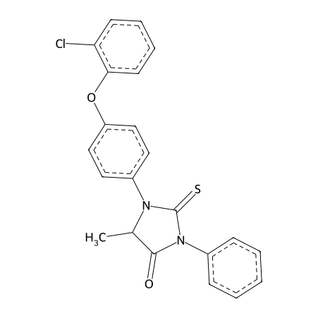 CC1C(=O)N(c2ccccc2)C(=S)N1c1ccc(Oc2ccccc2Cl)cc1